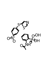 CC(=O)Nc1ccccc1[As](=O)(O)OO.O=[N+]([O-])c1ccc(Sc2cncs2)cc1